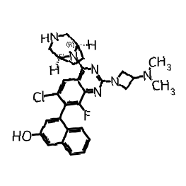 CN(C)C1CN(c2nc(N3[C@@H]4CC[C@H]3CNC4)c3cc(Cl)c(-c4cc(O)cc5ccccc45)c(F)c3n2)C1